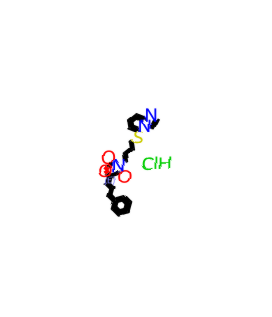 Cl.O=C1O/C(=C/CCc2ccccc2)C(=O)N1CCCCSc1cccc2nccn12